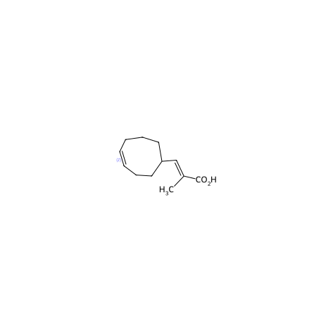 CC(=CC1CC/C=C\CCC1)C(=O)O